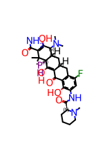 CP[C@]12C(O)=C3C(=O)c4c(O)c(NC(=O)[C@@H]5CCCCN5C)cc(F)c4C[C@H]3C[C@H]1[C@H](N(C)C)C(O)=C(C(N)=O)C2(C)C